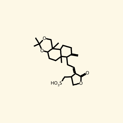 C=C1CCC2C3(C)COC(C)(C)OC3CCC2(C)C1C/C=C1/C(=O)OCC1CS(=O)(=O)O